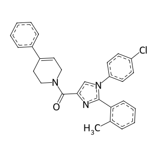 Cc1ccccc1-c1nc(C(=O)N2CC=C(c3ccccc3)CC2)cn1-c1ccc(Cl)cc1